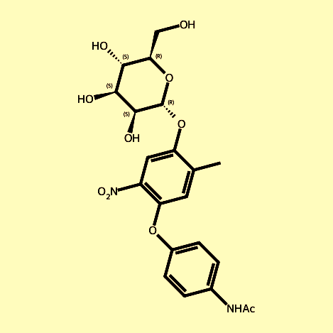 CC(=O)Nc1ccc(Oc2cc(C)c(O[C@H]3O[C@H](CO)[C@@H](O)[C@H](O)[C@@H]3O)cc2[N+](=O)[O-])cc1